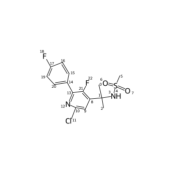 CC(C)(NS(C)(=O)=O)c1cc(Cl)nc(-c2ccc(F)cc2)c1F